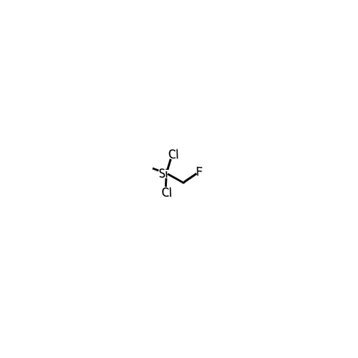 C[Si](Cl)(Cl)CF